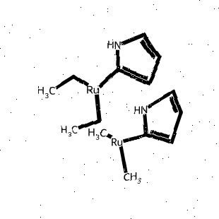 C[CH2][Ru]([CH2]C)[c]1ccc[nH]1.[CH3][Ru]([CH3])[c]1ccc[nH]1